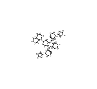 c1ccc2c(-c3ccc4c(-c5cc(-c6nccs6)ccn5)c5ccccc5c(-c5cc(-c6nccs6)ccn5)c4c3)cccc2c1